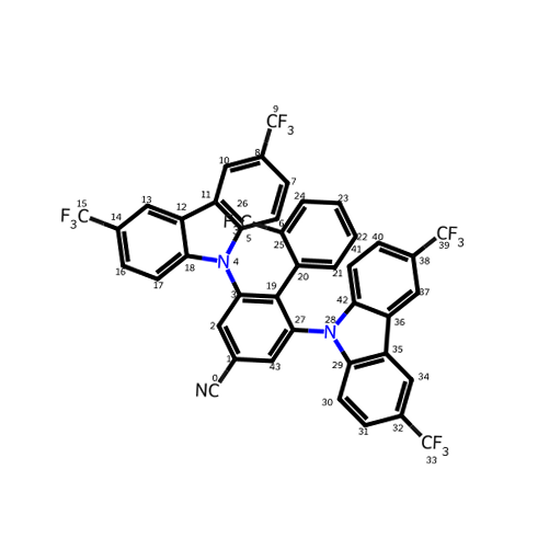 N#Cc1cc(-n2c3ccc(C(F)(F)F)cc3c3cc(C(F)(F)F)ccc32)c(-c2ccccc2C(F)(F)F)c(-n2c3ccc(C(F)(F)F)cc3c3cc(C(F)(F)F)ccc32)c1